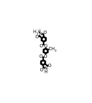 Cc1cc(OC(=O)c2ccc3c(c2)C(=O)NC3=O)ccc1OC(=O)c1ccc2c(c1)C(=O)N(C)C2=O